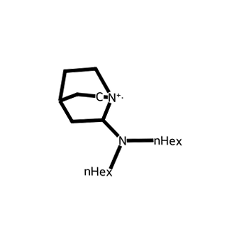 CCCCCCN(CCCCCC)C1CC2CC[N+]1CC2